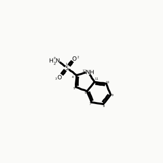 NS(=O)(=O)c1cc2ccccc2[nH]1